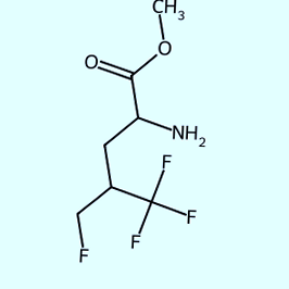 COC(=O)C(N)CC(CF)C(F)(F)F